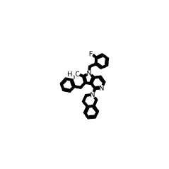 Cc1c(Cc2ccccc2)c2c(N3CCc4ccccc4C3)nccc2n1Cc1ccccc1F